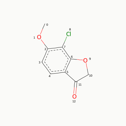 COc1ccc2c(c1Cl)OCC2=O